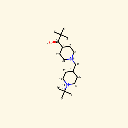 CC(C)(C)C(=O)C1CCN(CC2CCN(C(C)(C)C)CC2)CC1